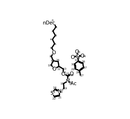 CCCCCCCCCCCCCCCCOCC1COC(COC(=O)N(CC[n+]2ccsc2)C(C)=O)C1.Cc1ccc(S(=O)(=O)[O-])cc1